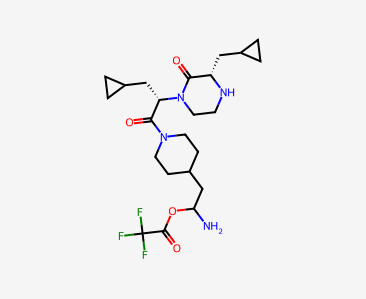 NC(CC1CCN(C(=O)[C@H](CC2CC2)N2CCN[C@@H](CC3CC3)C2=O)CC1)OC(=O)C(F)(F)F